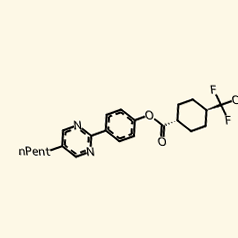 CCCCCc1cnc(-c2ccc(OC(=O)[C@H]3CC[C@H](C(F)(F)C(F)(F)F)CC3)cc2)nc1